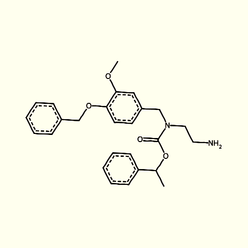 COc1cc(CN(CCN)C(=O)OC(C)c2ccccc2)ccc1OCc1ccccc1